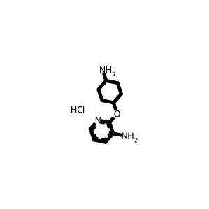 Cl.Nc1cccnc1OC1CCC(N)CC1